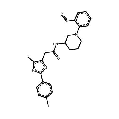 Cc1nc(-c2ccc(I)cc2)sc1CC(=O)NC1CCCN(c2ccccc2C=O)C1